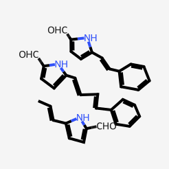 CC=Cc1ccc(C=O)[nH]1.O=Cc1ccc(C=CC=Cc2ccccc2)[nH]1.O=Cc1ccc(C=Cc2ccccc2)[nH]1